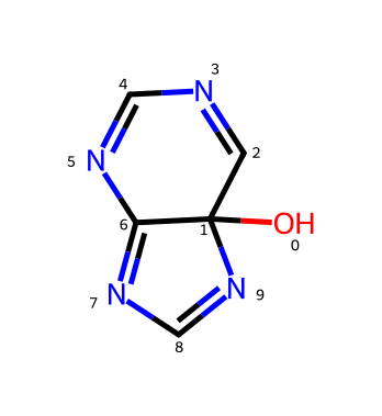 OC12C=NC=NC1=NC=N2